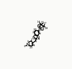 CN1CCC(Cc2nc3cc(B4OC(C)(C)C(C)(C)O4)ccc3s2)CC1